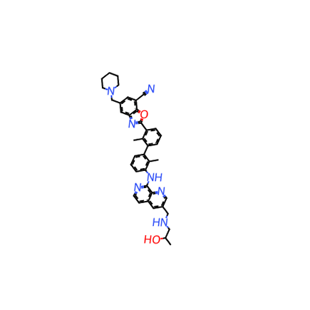 Cc1c(Nc2nccc3cc(CNCC(C)O)cnc23)cccc1-c1cccc(-c2nc3cc(CN4CCCCC4)cc(C#N)c3o2)c1C